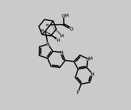 O=C(O)[C@@H]1C2CCC(CC2)[C@H]1n1ccc2ccc(-c3c[nH]c4ncc(F)cc34)nc21